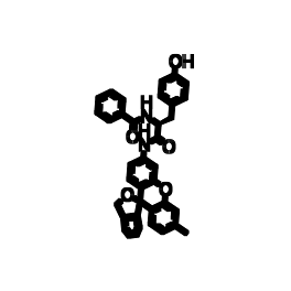 Cc1ccc2c(c1)Oc1cc(NC(=O)[C@H](Cc3ccc(O)cc3)NC(=O)c3ccccc3)ccc1C21OCc2ccccc21